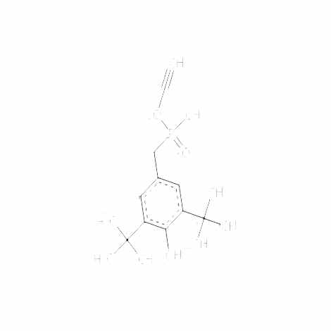 C#COP(C)(=O)Cc1cc(C(C)(C)C)c(O)c(C(C)(C)C)c1